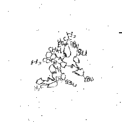 CCCCC(C)(C)c1ccc(N2c3cc4c(cc3B3c5ccc(N6c7ccccc7C7(C)CCCCC67C)cc5N(c5ccc(C(C)(C)C)cc5)c5cc(N(c6ccc(C(C)(C)C)cc6)c6ccc(C(C)(C)C)cc6)cc2c53)C(C)(C)CCC4(C)C)cc1CC